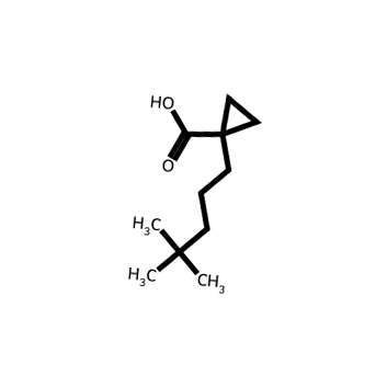 CC(C)(C)CCCC1(C(=O)O)CC1